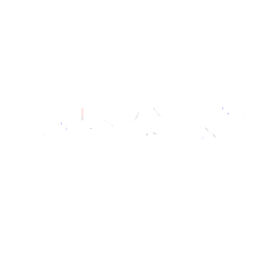 CC1(C(=O)N2CC3(CCOCC3)C2)C=C(c2ccc(OC/C(=C/F)CN)cc2)C1